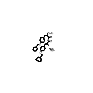 COC(Cc1ccc(OCc2ccccc2)cc1)C(=O)OC(=O)C(C)=Cc1ccc(OCc2ccccc2)cc1.[NaH].[NaH]